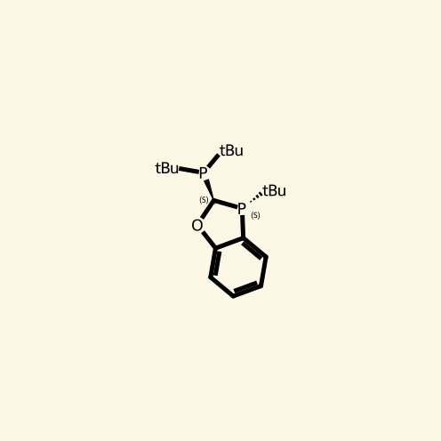 CC(C)(C)P([C@@H]1Oc2ccccc2[P@@]1C(C)(C)C)C(C)(C)C